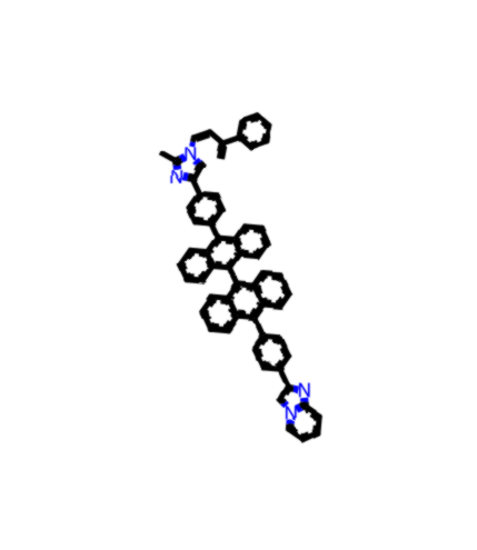 C=C(/C=C\n1cc(-c2ccc(-c3c4ccccc4c(-c4c5ccccc5c(-c5ccc(-c6cn7ccccc7n6)cc5)c5ccccc45)c4ccccc34)cc2)nc1C)c1ccccc1